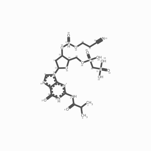 CC(C)C(=O)Nc1nc2c(ncn2C2CC(O[PH](=O)OCCC#N)C(COP(=O)(O)CP(=O)(O)O)O2)c(=O)[nH]1